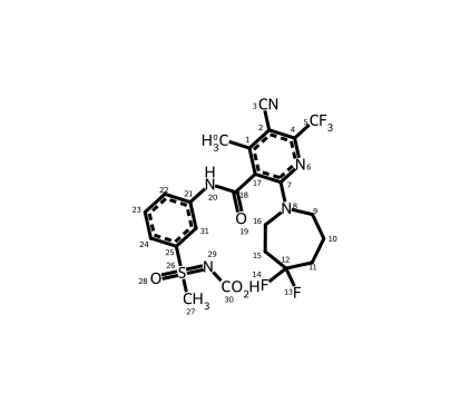 Cc1c(C#N)c(C(F)(F)F)nc(N2CCCC(F)(F)CC2)c1C(=O)Nc1cccc(S(C)(=O)=NC(=O)O)c1